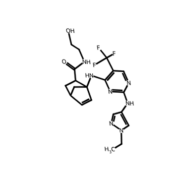 CCn1cc(Nc2ncc(C(F)(F)F)c(NC34C=CC(CC3C(=O)NCCO)C4)n2)cn1